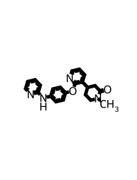 CN1CCC(c2cccnc2Oc2ccc(Nc3ccccn3)cc2)CC1=O